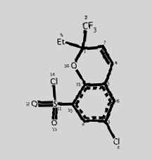 CCC1(C(F)(F)F)C=Cc2cc(Cl)cc(S(=O)(=O)Cl)c2O1